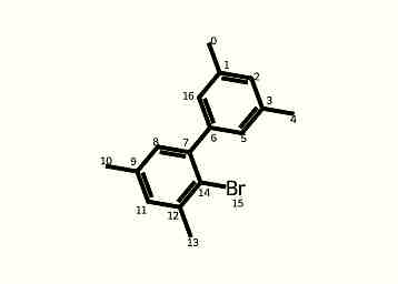 Cc1cc(C)cc(-c2cc(C)cc(C)c2Br)c1